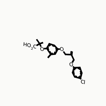 C=C(COc1ccc(Cl)cc1)COc1ccc(OC(C)(C)C(=O)O)c(C)c1